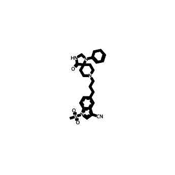 CS(=O)(=O)n1cc(C#N)c2cc(CCCN3CCC4(CC3)C(=O)NCN4C3=CC=CCC3)ccc21